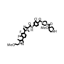 COCCn1ncc(-c2ccc(-c3cnc(C(=O)Nc4ccc(C(=O)N5CCN(C(=O)C6(OC)CCNCC6)CC5)c(Cl)c4)n3C)c(F)c2F)c1C